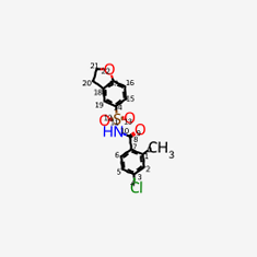 Cc1cc(Cl)ccc1C(=O)NS(=O)(=O)c1ccc2c(c1)CCO2